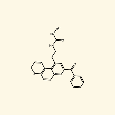 CCCNC(=O)NCCc1cc(C(=O)c2ccccc2)cc2ccc3c(c12)C=CCS3